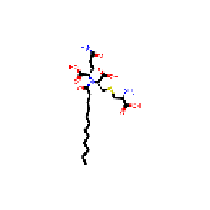 CCCCCCCCCCCC(=O)N([C@H](CCC(N)=O)C(=O)O)[C@H](CSC[C@H](N)C(=O)O)C(=O)O